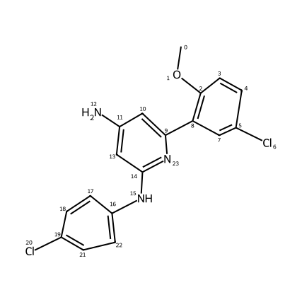 COc1ccc(Cl)cc1-c1cc(N)cc(Nc2ccc(Cl)cc2)n1